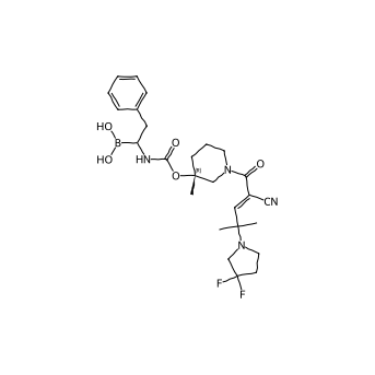 CC(C)(C=C(C#N)C(=O)N1CCC[C@@](C)(OC(=O)NC(Cc2ccccc2)B(O)O)C1)N1CCC(F)(F)C1